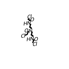 O=C(CCl)NCCCN(CCCNC(=O)CCl)C(=O)CCl